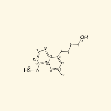 Cc1cc(CCCCO)c2cccc(CS)c2c1